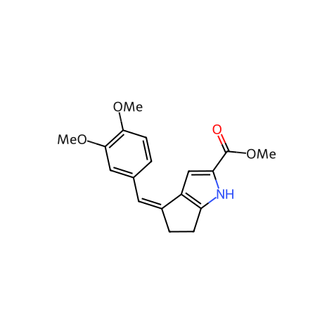 COC(=O)c1cc2c([nH]1)CCC2=Cc1ccc(OC)c(OC)c1